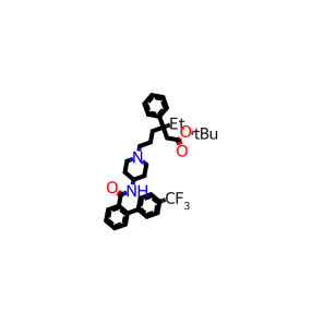 CCC(CCCN1CCC(NC(=O)c2ccccc2-c2ccc(C(F)(F)F)cc2)CC1)(CC(=O)OC(C)(C)C)c1ccccc1